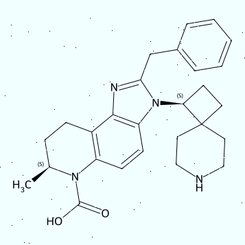 C[C@H]1CCc2c(ccc3c2nc(Cc2ccccc2)n3[C@H]2CCC23CCNCC3)N1C(=O)O